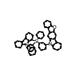 c1ccc(-n2c3ccccc3c3cccc([Si](c4ccccc4)(c4ccccc4)c4cccc(-n5c6ccccc6c6cc7oc8ccccc8c7cc65)c4)c32)cc1